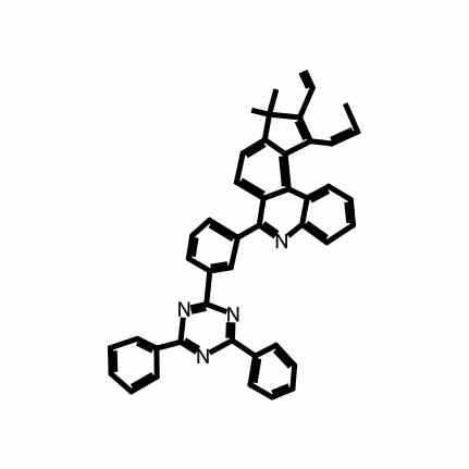 C=CC1=C(/C=C\C)c2c(ccc3c(-c4cccc(-c5nc(-c6ccccc6)nc(-c6ccccc6)n5)c4)nc4ccccc4c23)C1(C)C